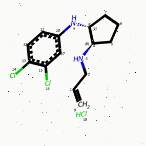 C=CCN[C@@H]1CCC[C@H]1Nc1ccc(Cl)c(Cl)c1.Cl